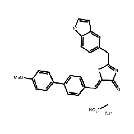 CC(=O)O.COc1ccc(-c2ccc(C=C3SC(Cc4ccc5[n-]ccc5c4)=NC3=O)cc2)cc1.[Na+]